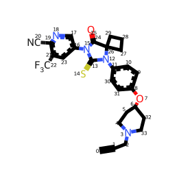 C#CCN1CCC(Oc2ccc(N3C(=S)N(c4cnc(C#N)c(C(F)(F)F)c4)C(=O)C34CCC4)cc2)CC1